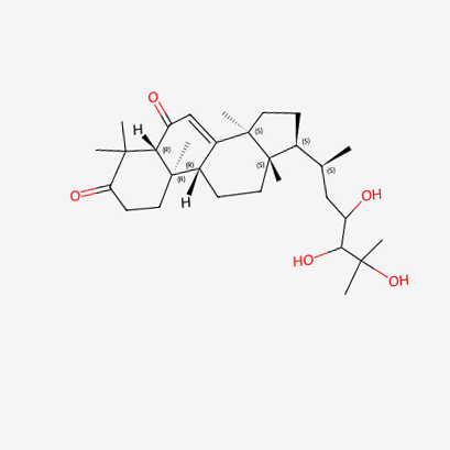 C[C@@H](CC(O)C(O)C(C)(C)O)[C@@H]1CC[C@]2(C)C3=CC(=O)[C@H]4C(C)(C)C(=O)CC[C@]4(C)[C@H]3CC[C@@]12C